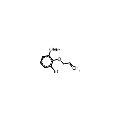 C=CCOc1c(CC)cccc1OC